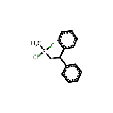 C[Si](Cl)(Cl)CC(c1ccccc1)c1ccccc1